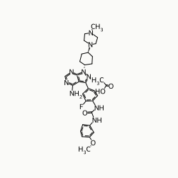 CC(=O)O.COc1cccc(NC(=O)Nc2ccc(-c3nn([C@H]4CC[C@H](N5CCN(C)CC5)CC4)c4ncnc(N)c34)cc2F)c1